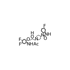 CC(=O)Nc1cc(F)c(F)cc1OC[C@H](O)CN1CCC(n2c(=O)[nH]c3cc(F)ccc32)CC1